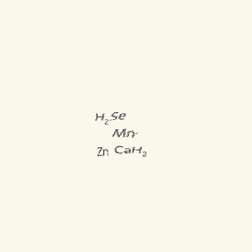 [CaH2].[Mn].[SeH2].[Zn]